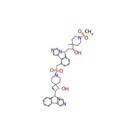 CS(=O)(=O)N1CCC2(CC1)C[C@@H]([C@H]1c3cccc(CS(=O)(=O)N4CCC5(CC4)C[C@H]([C@@H]4c6ccccc6-c6cncn64)[C@H]5O)c3-c3cncn31)[C@@H]2O